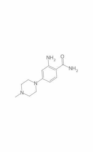 CN1CCN(c2ccc(C(N)=O)c(N)c2)CC1